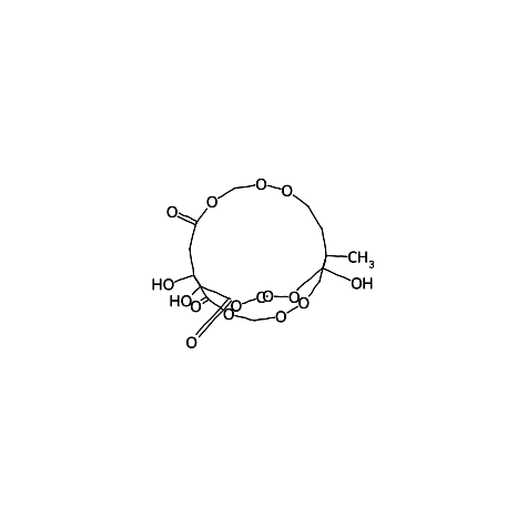 CC12CCOOCOC(=O)CC(O)(C(=O)OCOOC1)C(O)C(=O)OCOOCC2O